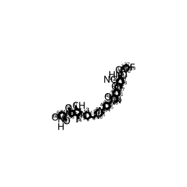 Cc1cc(N2CCC(CN3CCN(c4ccc(-n5cnc6ccc(Oc7c(F)ccc(NS(=O)(=O)N8CC[C@@H](F)C8)c7C#N)cc6c5=O)cc4)CC3)CC2)c(F)c2c1C(=O)N(C1CCC(=O)NC1=O)C2